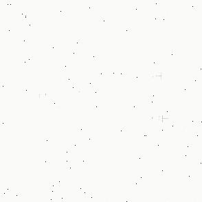 CC(=O)OC1(c2ccc(O)c(O)c2)CC1